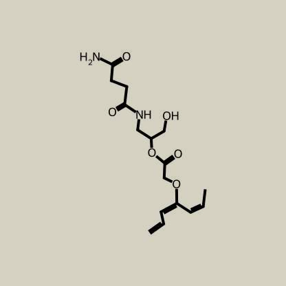 C=C/C=C(\C=C/C)OCC(=O)OC(CO)CNC(=O)CCC(N)=O